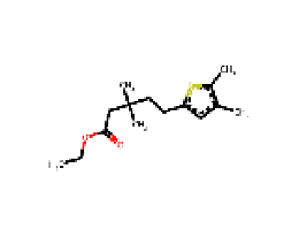 CCOC(=O)CC(C)(C)CCc1cc(C)c(C)s1